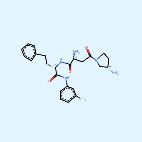 N[C@H]1CCN(C(=O)C[C@H](N)C(=O)N[C@@H](CCc2ccccc2)C(=O)Nc2cccc(C(F)(F)F)c2)C1